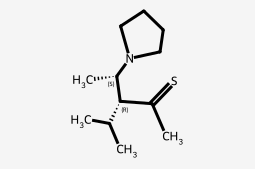 CC(=S)[C@H](C(C)C)[C@H](C)N1CCCC1